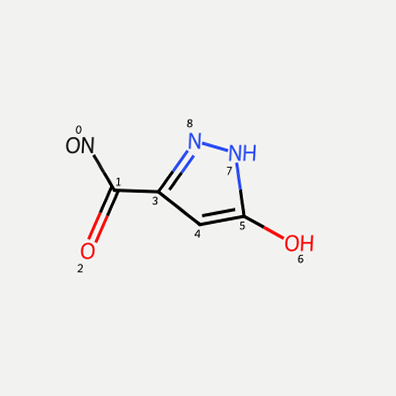 O=NC(=O)c1cc(O)[nH]n1